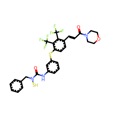 O=C(Nc1cccc(Sc2ccc(C=CC(=O)N3CCOCC3)c(C(F)(F)F)c2C(F)(F)F)c1)N(S)Cc1ccccc1